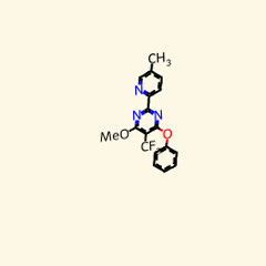 COc1nc(-c2ccc(C)cn2)nc(Oc2ccccc2)c1C(F)(F)F